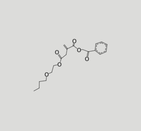 C=C(CC(=O)OCCOCCCC)C(=O)OCC(=O)c1ccccc1